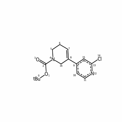 CC(C)(C)OC(=O)N1CCC=C(c2ccnc(Cl)c2)C1